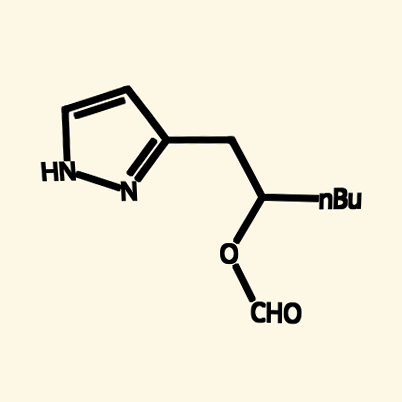 CCCCC(Cc1cc[nH]n1)OC=O